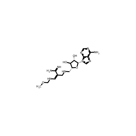 COCN/C=C(/CNC[C@H]1O[C@@H](n2cnc3c(N)ncnc32)[C@@H](O)C1O)C(=N)N